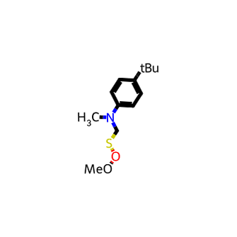 COOSCN(C)c1ccc(C(C)(C)C)cc1